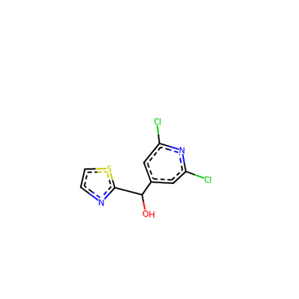 OC(c1cc(Cl)nc(Cl)c1)c1nccs1